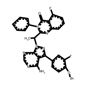 CC(C)Oc1ccc(-c2nn(C(C)c3nc4cccc(F)c4c(=O)n3-c3ccccc3)c3ncnc(N)c23)cc1F